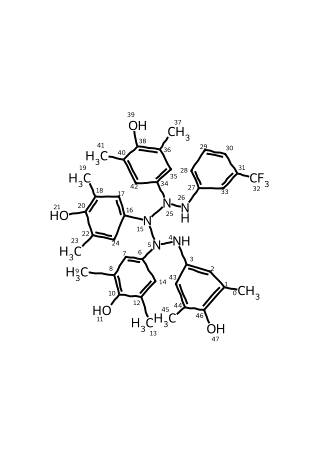 Cc1cc(NN(c2cc(C)c(O)c(C)c2)N(c2cc(C)c(O)c(C)c2)N(Nc2cccc(C(F)(F)F)c2)c2cc(C)c(O)c(C)c2)cc(C)c1O